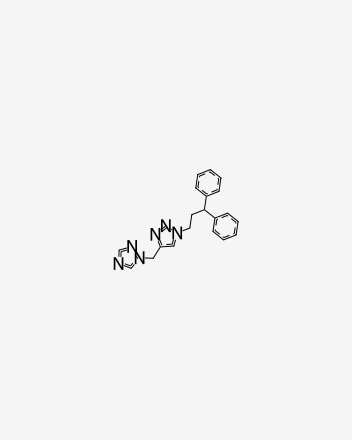 c1ccc(C(CCn2cc(Cn3cncn3)nn2)c2ccccc2)cc1